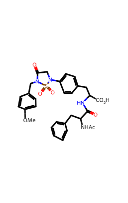 COc1ccc(CN2C(=O)CN(c3ccc(CC(NC(=O)C(Cc4ccccc4)NC(C)=O)C(=O)O)cc3)S2(=O)=O)cc1